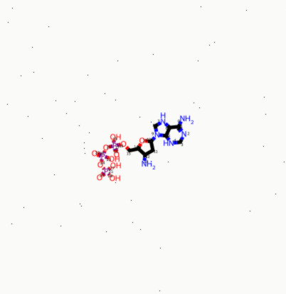 NC1=NCNC2C1NCN2C1CC(N)C(COP(=O)(O)OP(=O)(O)OP(=O)(O)O)O1